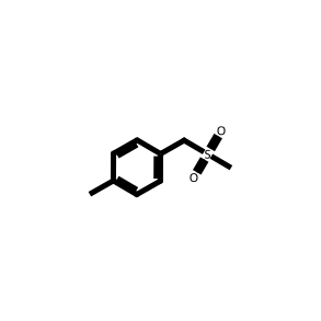 Cc1ccc([CH]S(C)(=O)=O)cc1